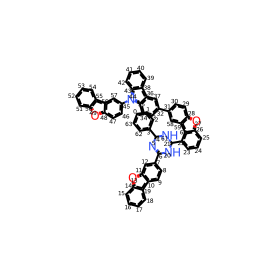 c1ccc(C2N=C(c3ccc4c(c3)oc3ccccc34)NC(c3cccc4oc5ccc(-c6ccc7c(c6)c6ccccc6n7-c6ccc7oc8ccccc8c7c6)cc5c34)N2)cc1